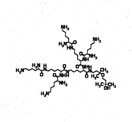 CC(C)(O)CCOC(C)(C)CCNC(=O)C(CCCCNC(=O)C(CCCCNC(=O)C(N)CCCCN)NC(=O)C(N)CCCCN)NC(=O)C(CCCCNC(=O)C(N)CCCCN)NC(=O)C(N)CCCCN